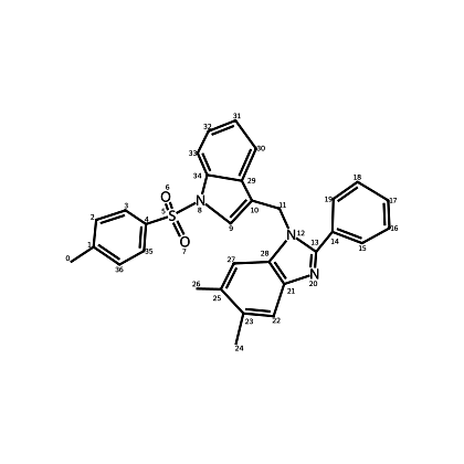 Cc1ccc(S(=O)(=O)n2cc(Cn3c(-c4ccccc4)nc4cc(C)c(C)cc43)c3ccccc32)cc1